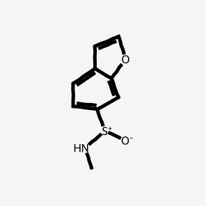 CN[S+]([O-])c1ccc2ccoc2c1